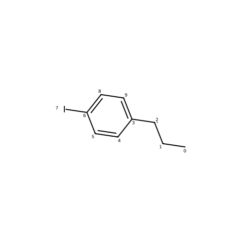 CC[CH]c1ccc(I)cc1